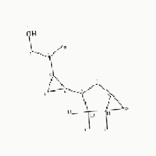 CC(CO)C1CC1C1CC2CC2(C)C1(C)C